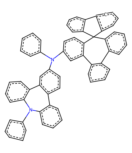 c1ccc(N(c2ccc3c(c2)-c2ccccc2N(c2ccccc2)c2ccccc2-3)c2ccc3c(c2)-c2ccccc2-c2ccccc2C32c3ccccc3-c3ccccc32)cc1